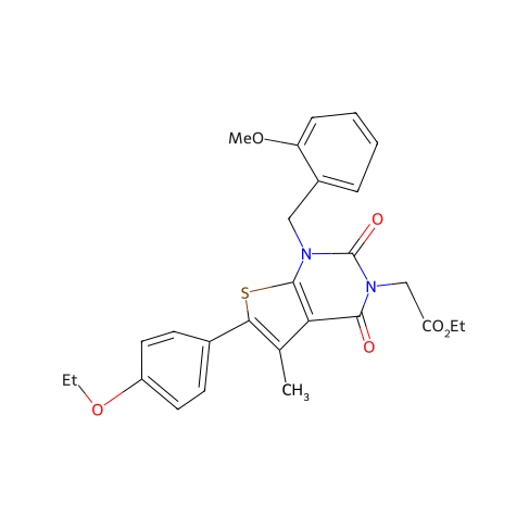 CCOC(=O)Cn1c(=O)c2c(C)c(-c3ccc(OCC)cc3)sc2n(Cc2ccccc2OC)c1=O